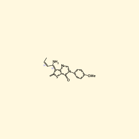 C=c1sc2c(=O)n(-c3ccc(OC)cc3)cnc2/c1=C(N)/C=C\C